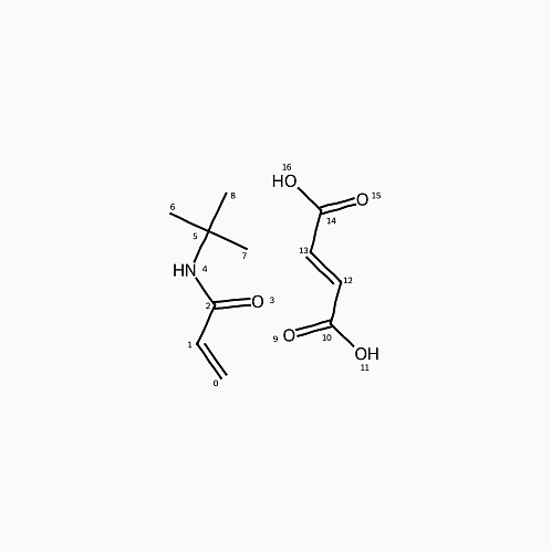 C=CC(=O)NC(C)(C)C.O=C(O)C=CC(=O)O